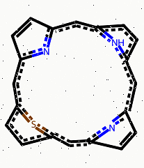 C1=Cc2cc3ccc(cc4nc(cc5ccc(cc1n2)[nH]5)C=C4)s3